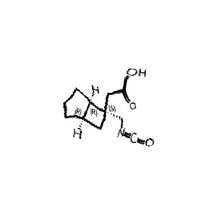 O=C=NC[C@]1(CC(=O)O)C[C@H]2CCC[C@H]21